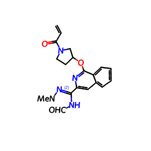 C=CC(=O)N1CCC(Oc2nc(/C(=N/NC)NC=O)cc3ccccc23)C1